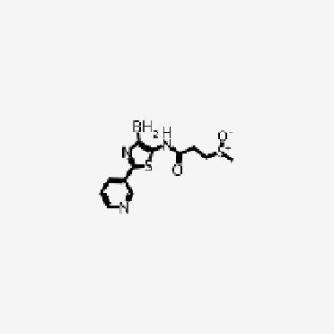 Bc1nc(-c2cccnc2)sc1NC(=O)CC[S+](C)[O-]